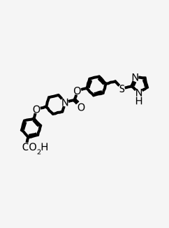 O=C(O)c1ccc(OC2CCN(C(=O)Oc3ccc(CSc4ncc[nH]4)cc3)CC2)cc1